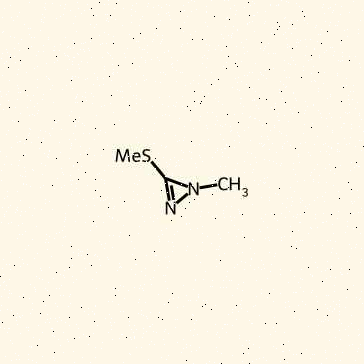 CSC1=NN1C